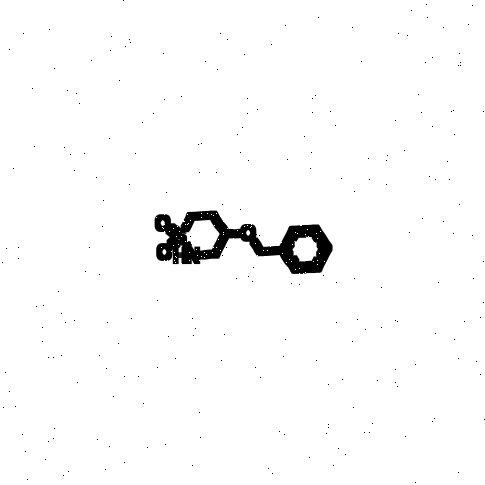 O=S1(=O)CCC(OCc2ccccc2)CN1